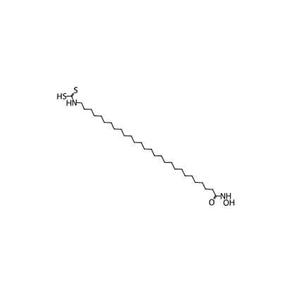 O=C(CCCCCCCCCCCCCCCCCCCCCCCCCCCNC(=S)S)NO